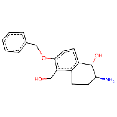 N[C@H]1CCc2c(ccc(OCc3ccccc3)c2CO)[C@@H]1O